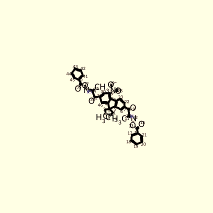 CCC1(CC)c2cc(C(=O)/C(C)=N/OC(=O)c3ccccc3)ccc2-c2c([N+](=O)[O-])cc(C(=O)/C(C)=N/OC(=O)c3ccccc3)cc21